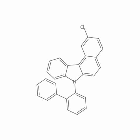 Clc1ccc2ccc3c(c2c1)c1ccccc1n3-c1ccccc1-c1ccccc1